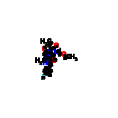 CCC[C@H]1C(=O)N(CCOCC)C[C@H]2N1C(=O)CN(C)N2C(=O)NCc1ccc(F)cc1